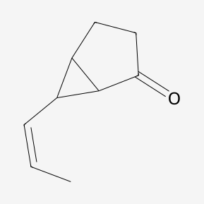 C/C=C\C1C2CCC(=O)C12